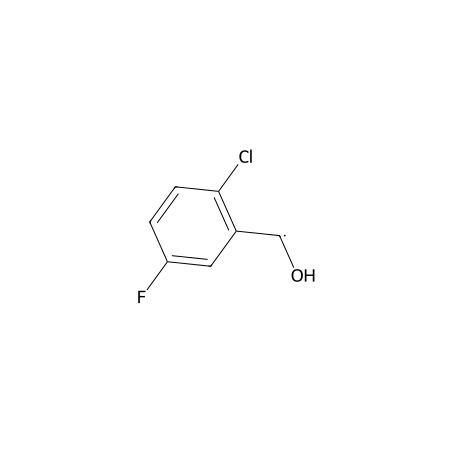 O[CH]c1cc(F)ccc1Cl